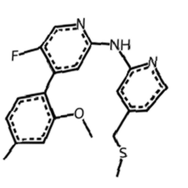 COc1cc(C)ccc1-c1cc(Nc2cc(CSC)ccn2)ncc1F